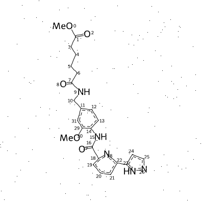 COC(=O)CCCCC(=O)NCc1ccc(NC(=O)c2cccc(-c3ccn[nH]3)n2)c(OC)c1